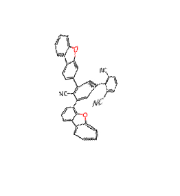 N#Cc1cccc(C#N)c1-c1cc(-c2ccc3c(c2)oc2ccccc23)c(C#N)c(-c2cccc3c2oc2ccccc23)c1